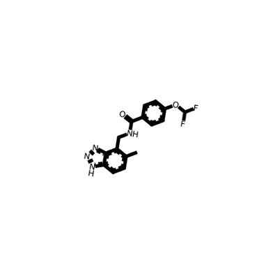 Cc1ccc2[nH]nnc2c1CNC(=O)c1ccc(OC(F)F)cc1